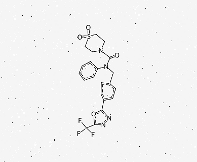 O=C(N1CCS(=O)(=O)CC1)N(Cc1ccc(-c2nnc(C(F)(F)F)o2)cc1)c1ccccc1